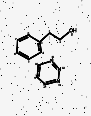 OCCc1ccccc1.c1cnnnc1